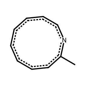 Cc1ccccccccn1